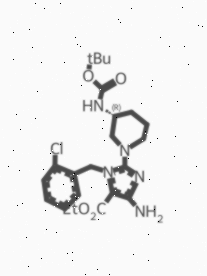 CCOC(=O)c1c(N)nc(N2CCC[C@@H](NC(=O)OC(C)(C)C)C2)n1Cc1ccccc1Cl